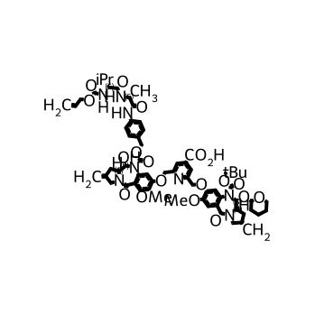 C=CCOC(=O)N[C@H](C(=O)N[C@@H](C)C(=O)Nc1ccc(COC(=O)N2c3cc(OCc4cc(C(=O)O)cc(COc5cc6c(cc5OC)C(=O)N5CC(=C)C[C@H]5[C@H](OC5CCCCO5)N6C(=O)OC(C)(C)C)n4)c(OC)cc3C(=O)N3CC(=C)C[C@H]3[C@@H]2O)cc1)C(C)C